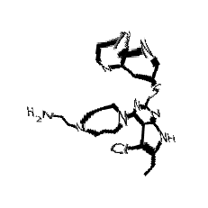 CCc1[nH]c2nc(Sc3cnc4nccnc4c3)nc(N3CCN(CCN)CC3)c2c1Cl